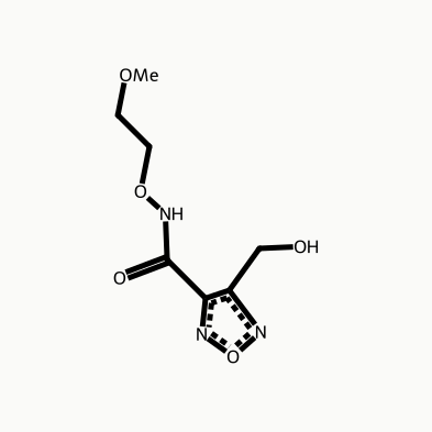 COCCONC(=O)c1nonc1CO